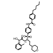 CCCCCc1ccc(C(=O)Nc2ccc(S(=O)(=O)N(CCN3CCOCC3)[C@H](Cc3ccccc3)C(=O)NO)cc2)cc1